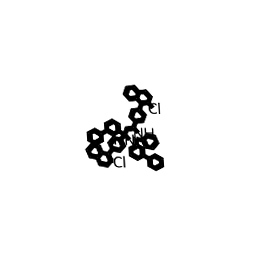 Clc1ccc2ccccc2c1-c1ccc(C2=CC(c3ccc(-c4c(Cl)ccc5ccccc45)cc3)(c3cccc(-c4ccccc4)c3)NC(c3ccccc3)(c3cccc(-c4ccccc4)c3)N2)cc1